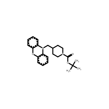 CC(C)(C)OC(=O)N1CCC(CN2c3ccccc3Oc3ccccc32)CC1